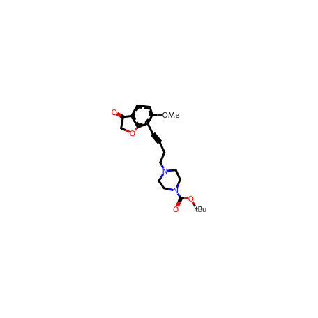 COc1ccc2c(c1C#CCCN1CCN(C(=O)OC(C)(C)C)CC1)OCC2=O